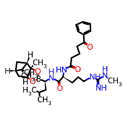 CNC(=N)NCCC[C@H](NC(=O)CCCC(=O)c1ccccc1)C(=O)N[C@@H](CC(C)C)B1O[C@@H]2C[C@@H]3C[C@@H](C3(C)C)[C@]2(C)O1